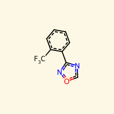 FC(F)(F)c1ccccc1-c1ncon1